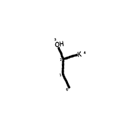 CC[CH](O)[K]